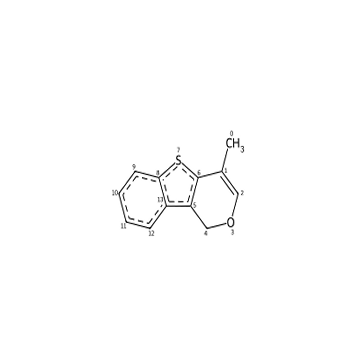 CC1=COCc2c1sc1ccccc21